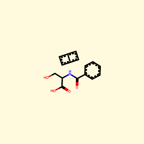 O=C(NC(CO)C(=O)O)c1ccccc1.c1cc2ccc1-2